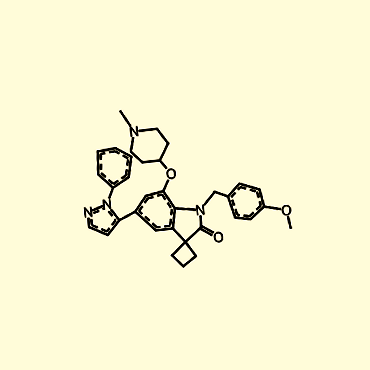 COc1ccc(CN2C(=O)C3(CCC3)c3cc(-c4ccnn4-c4ccccc4)cc(OC4CCN(C)CC4)c32)cc1